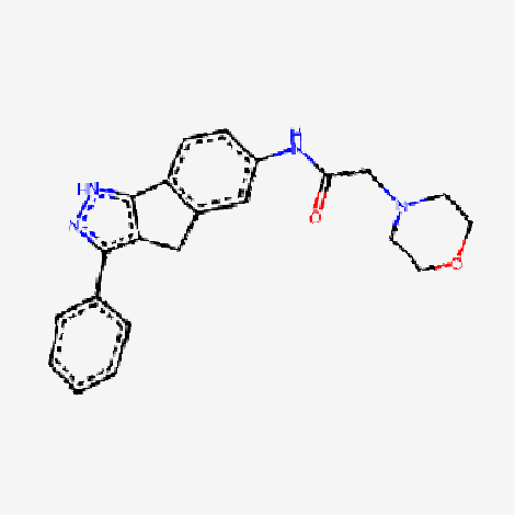 O=C(CN1CCOCC1)Nc1ccc2c(c1)Cc1c(-c3ccccc3)n[nH]c1-2